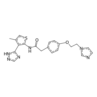 Cc1csc(NC(=O)Cc2ccc(OCCn3ccnc3)cc2)c1-c1ncn[nH]1